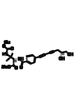 COC(=O)[C@@H](NC(=O)c1ccc(C#CC#CC[C@@H](O)CO)cc1)C(C)(C)NC(=O)OC(C)(C)C